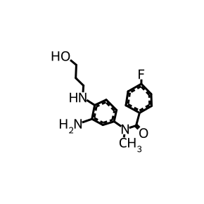 CN(C(=O)c1ccc(F)cc1)c1ccc(NCCCO)c(N)c1